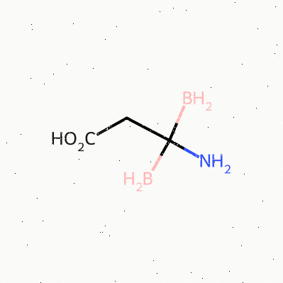 BC(B)(N)CC(=O)O